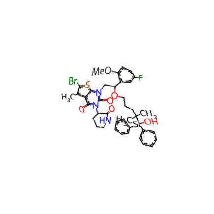 COc1ccc(F)cc1[C@H](Cn1c(=O)n(C2CCCNC2=O)c(=O)c2c(C)c(Br)sc21)OCCCC(C)(C)[Si](O)(c1ccccc1)c1ccccc1